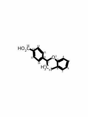 CC(Oc1ccccc1I)c1ccc(C(=O)O)cc1